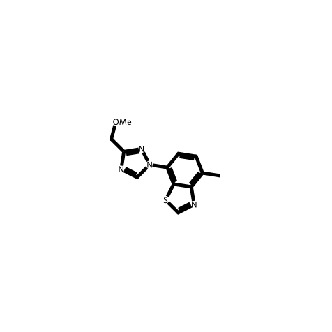 COCc1ncn(-c2ccc(C)c3ncsc23)n1